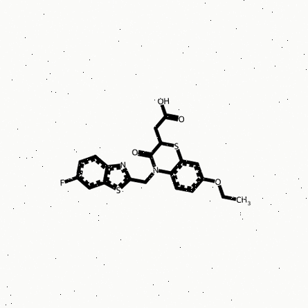 CCOc1ccc2c(c1)SC(CC(=O)O)C(=O)N2Cc1nc2ccc(F)cc2s1